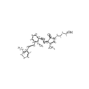 CC1=NN(CCCCO)C(=O)/C1=N\Nc1cccc(/C=C/C2=C(C)CCC=C2)c1O